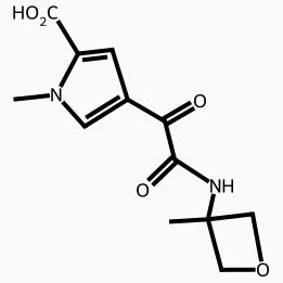 Cn1cc(C(=O)C(=O)NC2(C)COC2)cc1C(=O)O